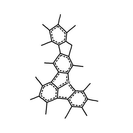 Cc1c(C)c(C)c2c(c1C)Cc1c-2c(C)c2c3c(C)c(C)c(C)c4c5c(C)c(C)c(C)c(C)c5n(c2c1C)c43